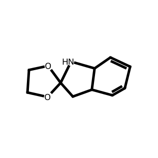 C1=CC2CC3(NC2C=C1)OCCO3